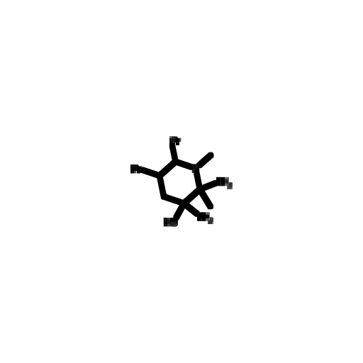 BC1(O)CC(C(C)C)C(C(C)C)N(C)C1(B)C